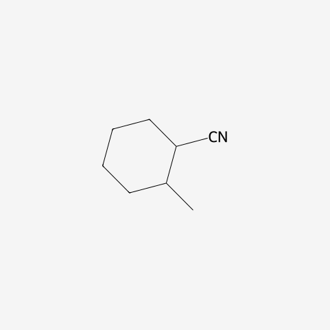 CC1CCCCC1C#N